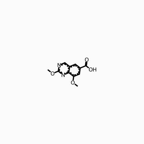 COc1ncc2cc(C(=O)O)cc(OC)c2n1